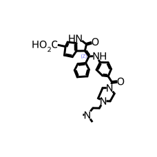 CN(C)CCN1CCN(C(=O)c2ccc(N/C(=C3\C(=O)Nc4cc(C(=O)O)ccc43)c3ccccc3)cc2)CC1